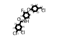 O=C(Nc1ccc(Oc2ccc(CCl)cc2)c(F)c1)c1ccc(Cl)c(Cl)c1